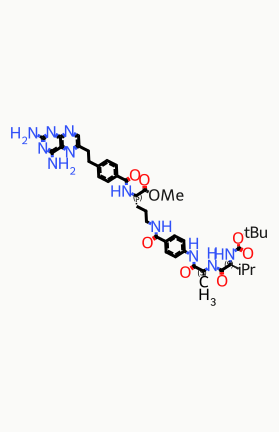 COC(=O)[C@H](CCCNC(=O)c1ccc(NC(=O)[C@H](C)NC(=O)[C@@H](NC(=O)OC(C)(C)C)C(C)C)cc1)NC(=O)c1ccc(CCc2cnc3nc(N)nc(N)c3n2)cc1